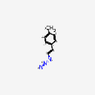 Cc1ccc(C=CN=[N+]=[N-])cc1